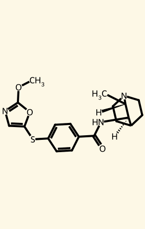 COc1ncc(Sc2ccc(C(=O)N[C@@H]3C4CCN(CC4)[C@H]3C)cc2)o1